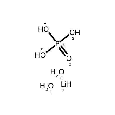 O.O.O=P(O)(O)O.[LiH]